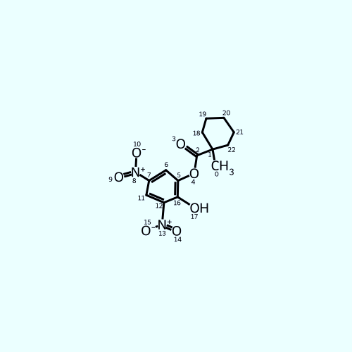 CC1(C(=O)Oc2cc([N+](=O)[O-])cc([N+](=O)[O-])c2O)CCCCC1